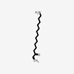 C=CC(=O)CCCCCCCCCCCCN